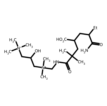 CCC(CC(CC(C)(C)C(=O)NC[N+](C)(C)CC(O)C[N+](C)(C)C)C(=O)O)C(N)=O